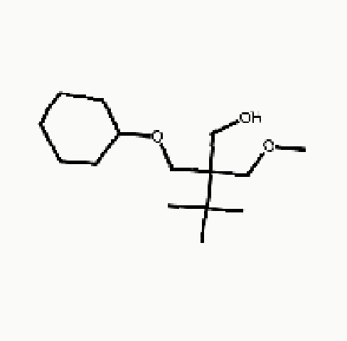 COCC(CO)(COC1CCCCC1)C(C)(C)C